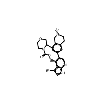 CC(=O)N1CCc2cc(-c3cnc4[nH]cc(C(C)C)c4c3)cc(C3COCCN3C(=O)OC(C)(C)C)c2C1